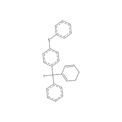 IS(C1=CCCC=C1)(c1ccccc1)c1ccc(Sc2ccccc2)cc1